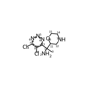 CC(N)(c1nnnc(Cl)c1Cl)C1CNCCO1